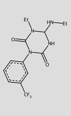 CCNC1NC(=O)N(c2cccc(C(F)(F)F)c2)C(=O)N1CC